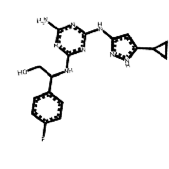 Nc1nc(Nc2cc(C3CC3)[nH]n2)nc(NC(CO)c2ccc(F)cc2)n1